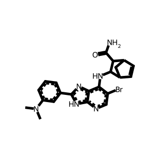 CN(C)c1cccc(-c2nc3c(NC4C5C=CC(C5)C4C(N)=O)c(Br)cnc3[nH]2)c1